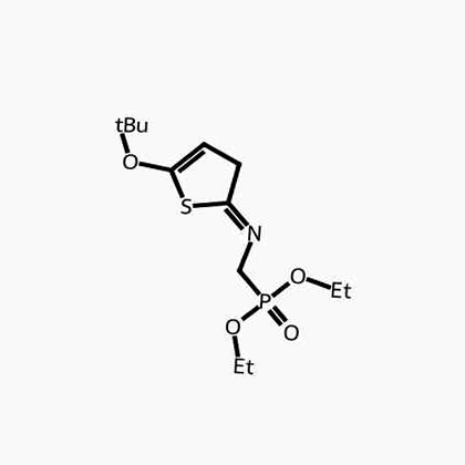 CCOP(=O)(CN=C1CC=C(OC(C)(C)C)S1)OCC